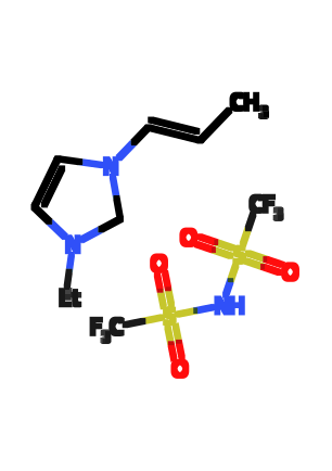 CC=CN1C=CN(CC)C1.O=S(=O)(NS(=O)(=O)C(F)(F)F)C(F)(F)F